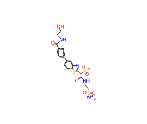 CS(=O)(=O)C(C(=O)NCCS(N)(=O)=O)c1nc2cc(-c3ccc(C(=O)NCCO)cc3)ccc2s1